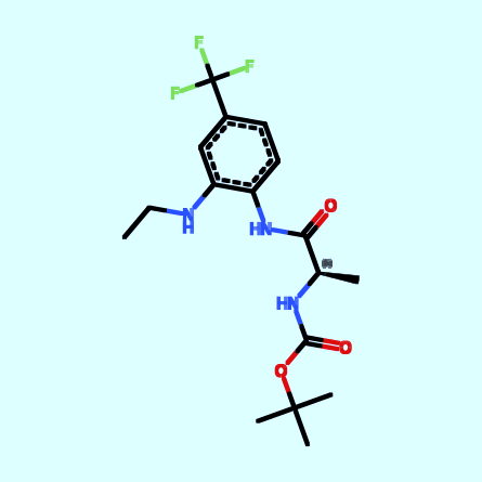 CCNc1cc(C(F)(F)F)ccc1NC(=O)[C@@H](C)NC(=O)OC(C)(C)C